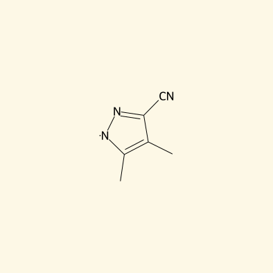 CC1=C(C)C(C#N)=N[N]1